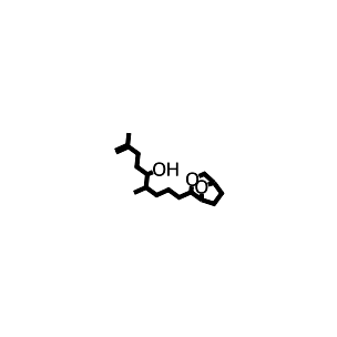 C=C(C)CCC(O)C(C)CCCC1OCC2CCC1O2